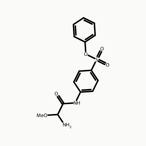 COC(N)C(=O)Nc1ccc(S(=O)(=O)Oc2ccccc2)cc1